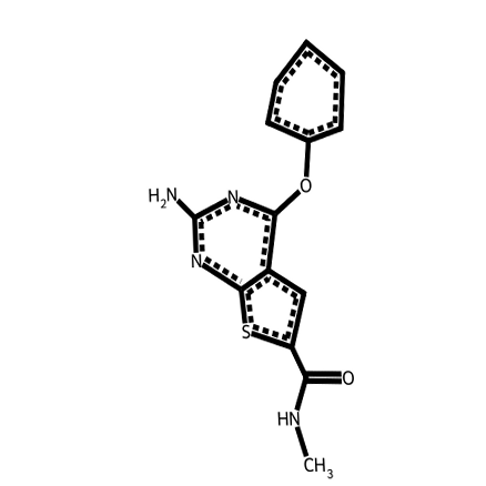 CNC(=O)c1cc2c(Oc3ccccc3)nc(N)nc2s1